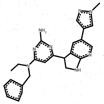 CCN(Cc1ccccc1)c1cc(C2CNc3ncc(-c4cnn(C)c4)cc32)nc(N)n1